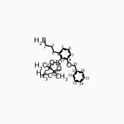 BCCCc1cccc(OCc2ccccc2)c1B1OC(C)(C)C(C)(C)O1